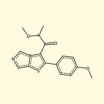 COc1ccc(-c2sc3cncn3c2C(=O)N(C)OC)cc1